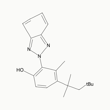 Cc1c(C(C)(C)CC(C)(C)C)ccc(O)c1-n1nc2ccccc2n1